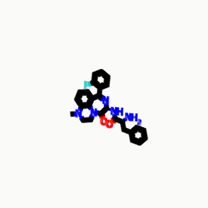 CN1CCN2C(=O)[C@@H](NC(=O)[C@@H](N)Cc3ccccc3)N=C(c3ccccc3F)c3cccc1c32